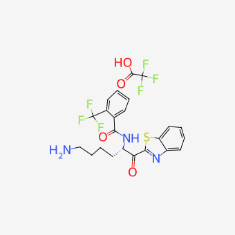 NCCCC[C@H](NC(=O)c1ccccc1C(F)(F)F)C(=O)c1nc2ccccc2s1.O=C(O)C(F)(F)F